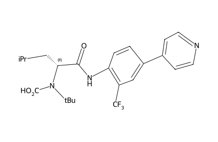 CC(C)C[C@H](C(=O)Nc1ccc(-c2ccncc2)cc1C(F)(F)F)N(C(=O)O)C(C)(C)C